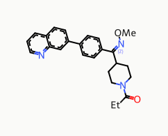 CCC(=O)N1CCC(/C(=N/OC)c2ccc(-c3ccc4cccnc4c3)cc2)CC1